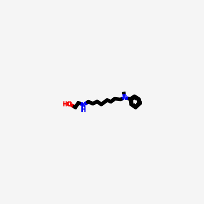 CN(CCCCCCCCNCCO)c1ccccc1